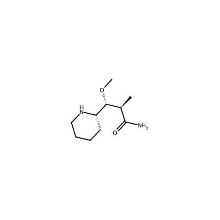 CO[C@@H]([C@@H]1CCCCN1)[C@@H](C)C(N)=O